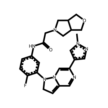 Cn1cc(C2=CN3C(=CCN3c3cc(NC(=O)CN4CC5COCC5C4)ccc3F)C=N2)cn1